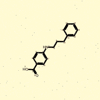 O=C(O)c1ccc(NCCCc2ccccc2)cc1